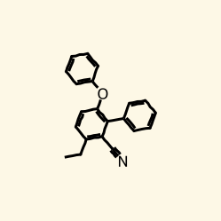 CCc1ccc(Oc2ccccc2)c(-c2ccccc2)c1C#N